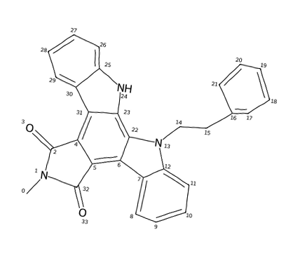 CN1C(=O)c2c(c3c4ccccc4n(CCc4ccccc4)c3c3[nH]c4ccccc4c23)C1=O